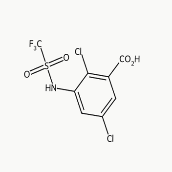 O=C(O)c1cc(Cl)cc(NS(=O)(=O)C(F)(F)F)c1Cl